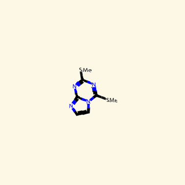 CSc1nc(SC)n2ccnc2n1